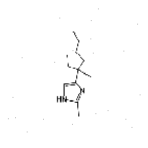 CCCCC(C)(CC)c1c[nH]c(C)n1